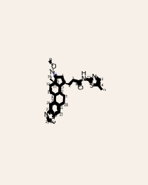 CO/N=C1\C[C@@H](CCC(=O)Nc2ncc(C)s2)C2C3CCc4cc5ocnc5cc4C3CC[C@]12C